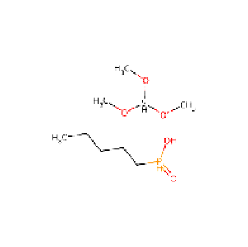 CCCCC[PH](=O)O.CO[SiH](OC)OC